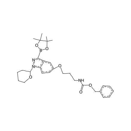 CC1(C)OB(c2nn(C3CCCCO3)c3ccc(OCCCNC(=O)OCc4ccccc4)cc23)OC1(C)C